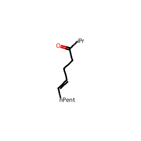 CCCCCC=CCCC(=O)C(C)C